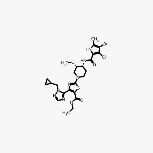 CCOC(=O)c1sc(N2CC[C@@H](NC(=O)c3[nH]c(C)c(Br)c3Cl)[C@@H](OC)C2)nc1-c1ncnn1CC1CC1